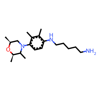 Cc1c(NCCCCCN)ccc(N2C[C@H](C)O[C@H](C)C2C)c1C